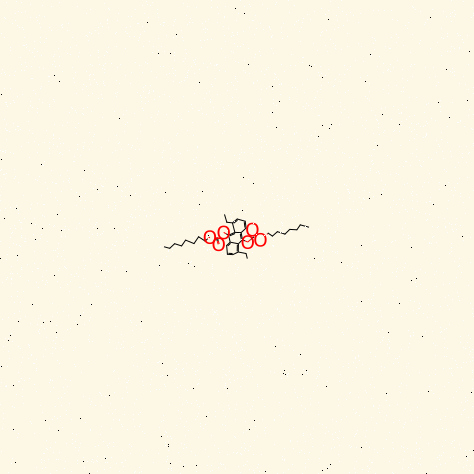 CCCCCCCCOC(=O)Oc1c2cccc(CC)c2c(OC(=O)OCCCCCCCC)c2cccc(CC)c12